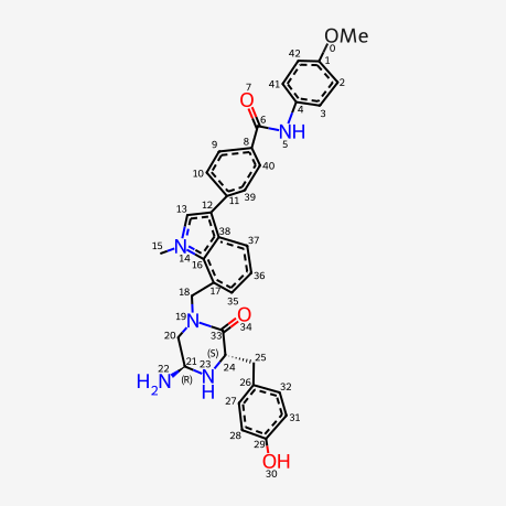 COc1ccc(NC(=O)c2ccc(-c3cn(C)c4c(CN5C[C@H](N)N[C@@H](Cc6ccc(O)cc6)C5=O)cccc34)cc2)cc1